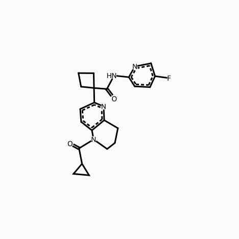 O=C(C1CC1)N1CCCc2nc(C3(C(=O)Nc4ccc(F)cn4)CCC3)ccc21